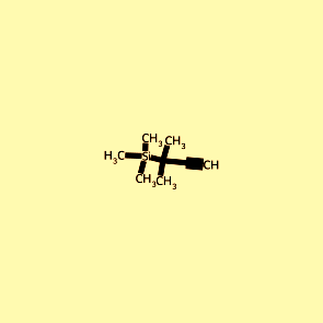 C#CC(C)(C)[Si](C)(C)C